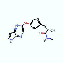 CN(C)C(=O)C(C#N)=Cc1ccc(Oc2cnc3[nH]ccc3n2)cc1